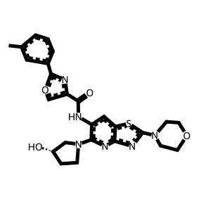 Cc1cccc(-c2nc(C(=O)Nc3cc4sc(N5CCOCC5)nc4nc3N3CC[C@H](O)C3)co2)c1